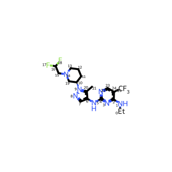 CCNc1nc(Nc2cnn([C@@H]3CCCN(CC(F)F)C3)c2C)ncc1C(F)(F)F